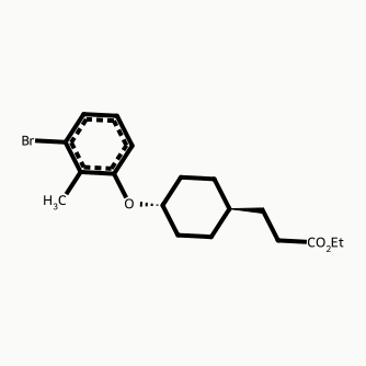 CCOC(=O)CC[C@H]1CC[C@H](Oc2cccc(Br)c2C)CC1